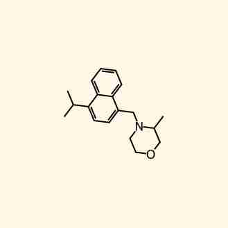 CC(C)c1ccc(CN2CCOCC2C)c2ccccc12